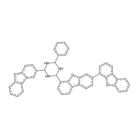 c1ccc(C2NC(c3ccc4sc5ccccc5c4c3)NC(c3cccc4c3oc3cc(-c5cccc6c5oc5ccccc56)ccc34)N2)cc1